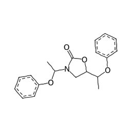 CC(Oc1ccccc1)C1CN(C(C)Oc2ccccc2)C(=O)O1